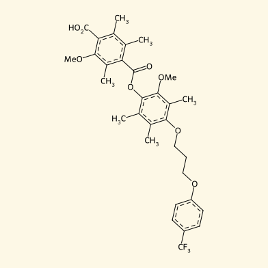 COc1c(C)c(OCCCOc2ccc(C(F)(F)F)cc2)c(C)c(C)c1OC(=O)c1c(C)c(C)c(C(=O)O)c(OC)c1C